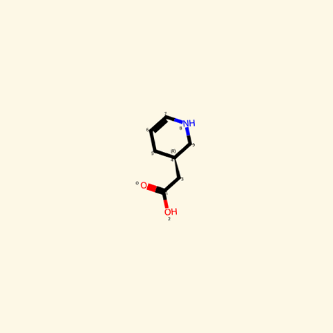 O=C(O)C[C@H]1CC=CNC1